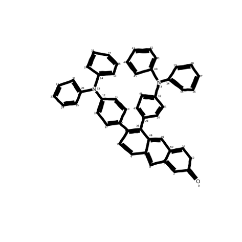 O=C1C=c2cc3ccc(-c4ccc(N(c5ccccc5)c5ccccc5)cc4)c(-c4ccc(N(c5ccccc5)c5ccccc5)cc4)c3cc2=CC1